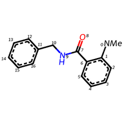 CNc1ccccc1C(=O)NCc1ccccc1